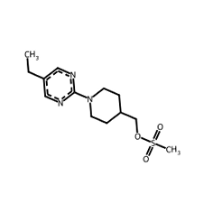 CCc1cnc(N2CCC(COS(C)(=O)=O)CC2)nc1